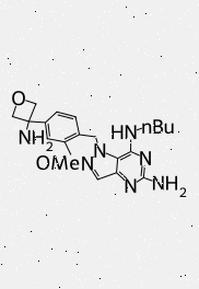 CCCCNc1nc(N)nc2cnn(Cc3ccc(C4(N)COC4)cc3OC)c12